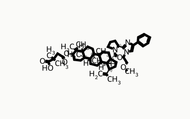 C=C(C)[C@@H]1CC[C@]2(C(=O)N3CCC[C@H]3c3nc(-c4ccccc4)cn3CCOC)CC[C@]3(C)[C@H](CC[C@@H]4[C@@]5(C)CC[C@H](OC(=O)CC(C)(C)C(=O)O)C(C)(C)[C@@H]5CC[C@]43C)[C@@H]12